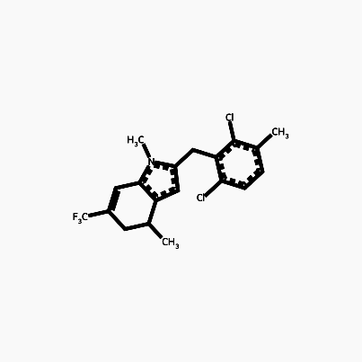 Cc1ccc(Cl)c(Cc2cc3c(n2C)C=C(C(F)(F)F)CC3C)c1Cl